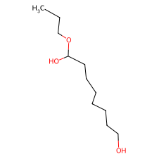 CCCOC(O)CCCCCCCO